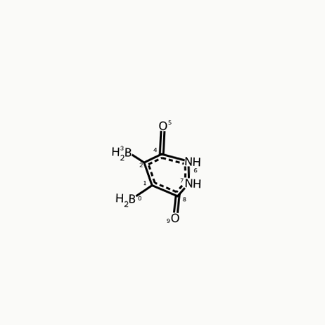 Bc1c(B)c(=O)[nH][nH]c1=O